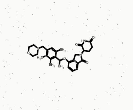 Bc1cc(CN2CCOCC2)c(B)c(B)c1C(B)Oc1cccc2c1CN(C1CCC(=O)NC1=O)C2=O